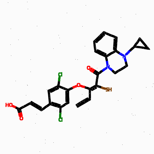 C=C/C(Oc1cc(Cl)c(/C=C/C(=O)O)cc1Cl)=C(\S)C(=O)N1CCN(C2CC2)c2ccccc21